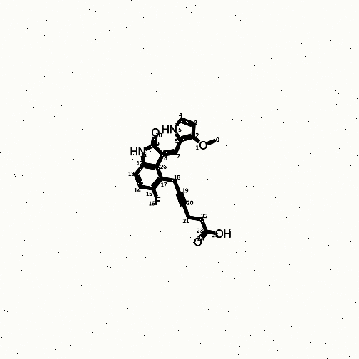 COc1cc[nH]c1C=C1C(=O)Nc2ccc(F)c(CC#CCCC(=O)O)c21